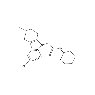 CN1CCc2c(c3cc(Cl)ccc3n2CC(=O)NC2CCCCC2)C1